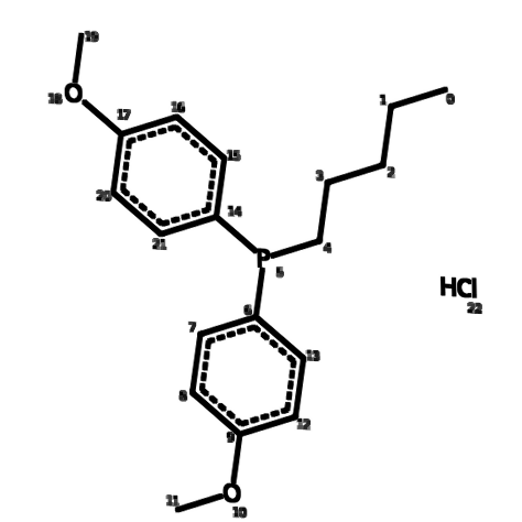 CCCCCP(c1ccc(OC)cc1)c1ccc(OC)cc1.Cl